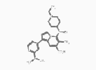 CCN(c1c(C)c(C(=O)O)cc2c(-c3ccnc(N(C)C)c3)ccn12)C1CCN(CC(F)(F)F)CC1